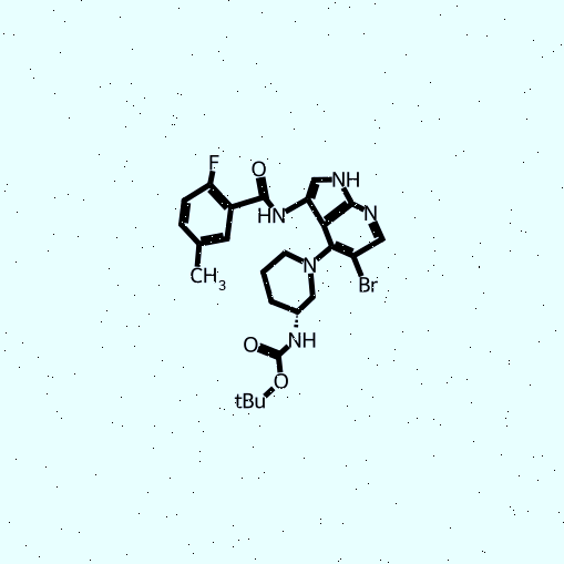 Cc1ccc(F)c(C(=O)Nc2c[nH]c3ncc(Br)c(N4CCC[C@@H](NC(=O)OC(C)(C)C)C4)c23)c1